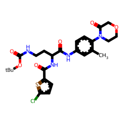 Cc1cc(NC(=O)C(CCNC(=O)OC(C)(C)C)NC(=O)c2ccc(Cl)s2)ccc1N1CCOCC1=O